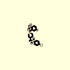 CC(C1CCN(C(=O)c2cc(F)ccc2S(C)(=O)=O)CC1)S(=O)(=O)c1ccc(Cl)cc1